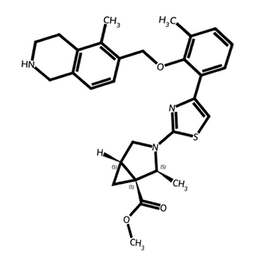 COC(=O)[C@@]12C[C@@H]1CN(c1nc(-c3cccc(C)c3OCc3ccc4c(c3C)CCNC4)cs1)[C@H]2C